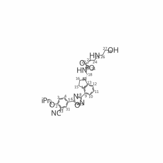 CC(C)Oc1ccc(-c2nc(-c3cccc4c3CC[C@@H]4CNS(=O)(=O)CCNCCO)no2)cc1C#N